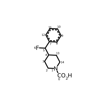 O=C(O)N1CCC(C(F)c2ccccc2)CC1